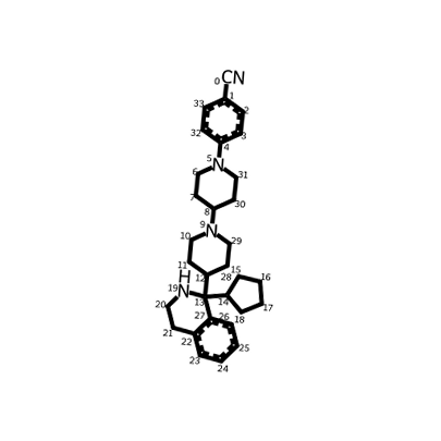 N#Cc1ccc(N2CCC(N3CCC(C4(C5CCCC5)NCCc5ccccc54)CC3)CC2)cc1